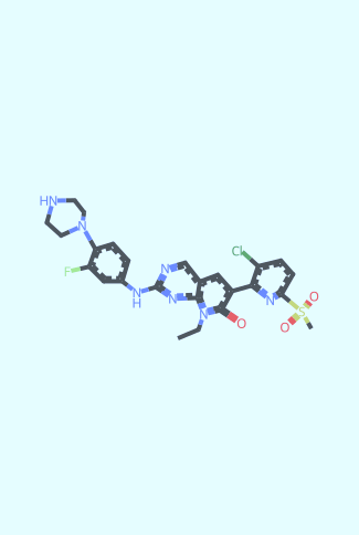 CCn1c(=O)c(-c2nc(S(C)(=O)=O)ccc2Cl)cc2cnc(Nc3ccc(N4CCNCC4)c(F)c3)nc21